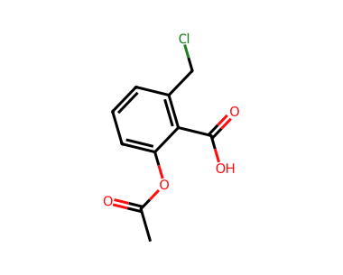 CC(=O)Oc1cccc(CCl)c1C(=O)O